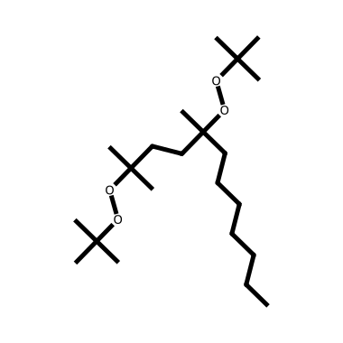 CCCCCCCC(C)(CCC(C)(C)OOC(C)(C)C)OOC(C)(C)C